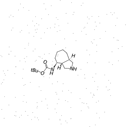 CC(C)(C)OC(=O)N[C@H]1CCCC[C@H]2CNC[C@@H]21